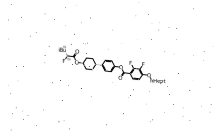 CCCCCCCOc1ccc(C(=O)Oc2ccc([C@H]3CC[C@H](OC(=O)[C@@H](F)[C@@H](C)CC)CC3)cc2)c(F)c1F